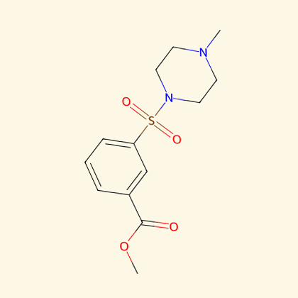 COC(=O)c1cccc(S(=O)(=O)N2CCN(C)CC2)c1